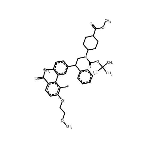 COCCOc1ccc(C(N)=O)c(-c2cc(C(CN(C(=O)OC(C)(C)C)C3CCC(C(=O)OC)CC3)c3ccccc3)ccc2Cl)c1F